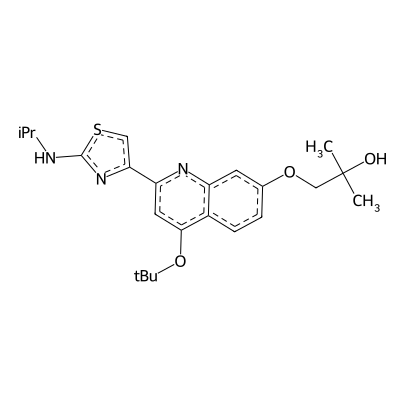 CC(C)Nc1nc(-c2cc(OC(C)(C)C)c3ccc(OCC(C)(C)O)cc3n2)cs1